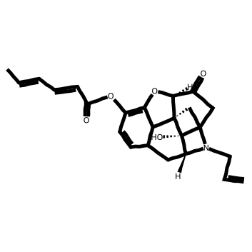 C=CCN1[C@@H]2CC3C=CC(OC(=O)/C=C/C=C/C)=C4O[C@H]5C(=O)CC16C[C@@]5(C43)[C@]26O